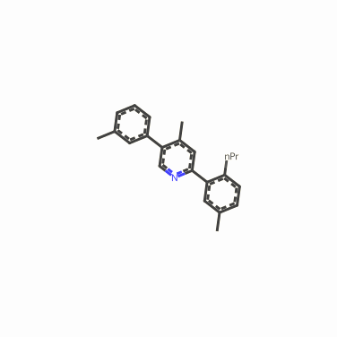 CCCc1ccc(C)cc1-c1cc(C)c(-c2cccc(C)c2)cn1